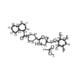 COC(=O)C[C@H](NC(=O)C1CCN(C(=O)c2cccc3ccccc23)CC1)C(=O)COc1c(C)c(F)cc(F)c1F